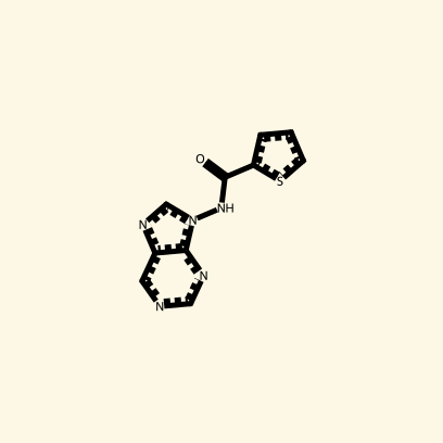 O=C(Nn1cnc2cncnc21)c1cccs1